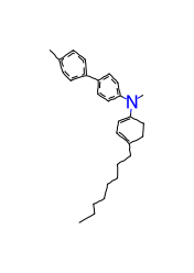 CCCCCCCCC1=CC=C(N(C)c2ccc(-c3ccc(C)cc3)cc2)CC1